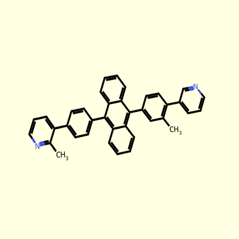 Cc1cc(-c2c3ccccc3c(-c3ccc(-c4cccnc4C)cc3)c3ccccc23)ccc1-c1cccnc1